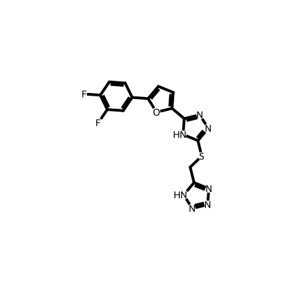 Fc1ccc(-c2ccc(-c3nnc(SCc4nnn[nH]4)[nH]3)o2)cc1F